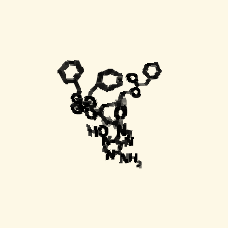 Nc1ncnc2c1ncn2[C@@H]1O[C@H](COC(=O)Cc2ccccc2)C[C@H](OP(=O)(OCc2ccccc2)OCc2ccccc2)[C@H]1O